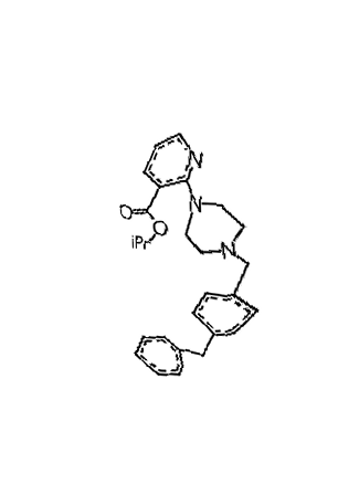 CC(C)OC(=O)c1cccnc1N1CCN(Cc2ccc(Cc3ccccc3)cc2)CC1